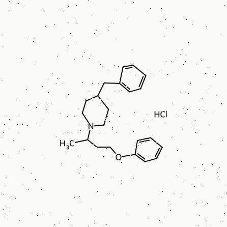 CC(CCOc1ccccc1)N1CCC(Cc2ccccc2)CC1.Cl